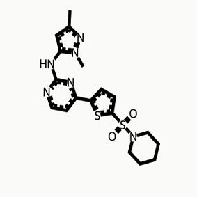 Cc1cc(Nc2nccc(-c3ccc(S(=O)(=O)N4CCCCC4)s3)n2)n(C)n1